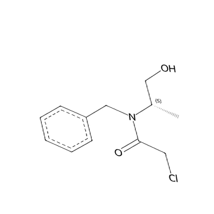 C[C@@H](CO)N(Cc1ccccc1)C(=O)CCl